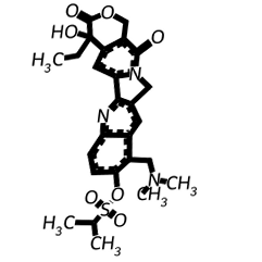 CCC1(O)C(=O)OCc2c1cc1n(c2=O)Cc2cc3c(CN(C)C)c(OS(=O)(=O)C(C)C)ccc3nc2-1